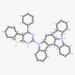 c1ccc(-c2nc(-n3c4ccccc4c4c5c6ccccc6n6c7ccccc7c(cc43)c56)nc3sc4ccccc4c23)cc1